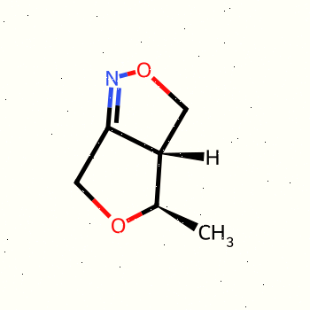 C[C@H]1OCC2=NOC[C@@H]21